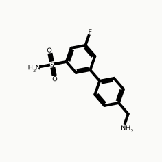 NCc1ccc(-c2cc(F)cc(S(N)(=O)=O)c2)cc1